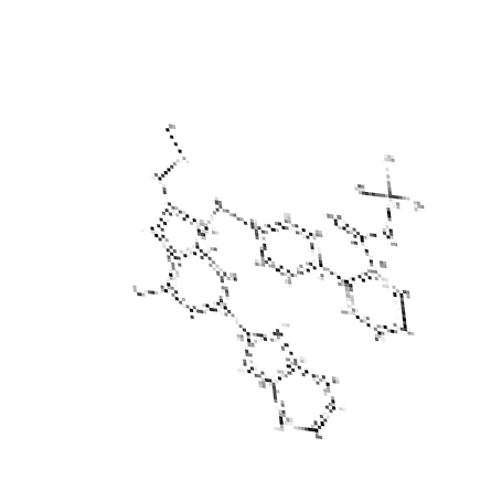 CCCc1nc2c(C)cc(-c3cn4cccnc4n3)cc2n1Cc1ccc(-c2ccccc2C(=O)OC(C)(C)C)cc1